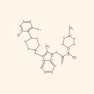 Cc1c(CN2CCC(c3c(F)cccc3Cl)CC2)c2ccccc2n1CC(=O)N(C)C1CCN(C)CC1